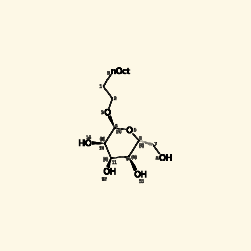 CCCCCCCCCCO[C@H]1O[C@H](CO)[C@@H](O)[C@@H](O)[C@H]1O